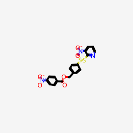 O=C(OCc1ccc(SSc2ncccc2[N+](=O)[O-])cc1)c1ccc([N+](=O)[O-])cc1